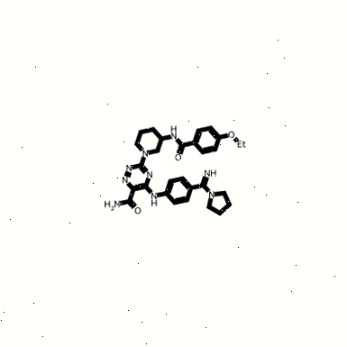 CCOc1ccc(C(=O)NC2CCCN(c3nnc(C(N)=O)c(Nc4ccc(C(=N)N5CCCC5)cc4)n3)C2)cc1